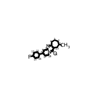 CC1CCCc2nc3cc(-c4ccc(F)cc4)ccn3c(=O)c2C1